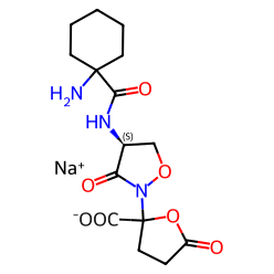 NC1(C(=O)N[C@H]2CON(C3(C(=O)[O-])CCC(=O)O3)C2=O)CCCCC1.[Na+]